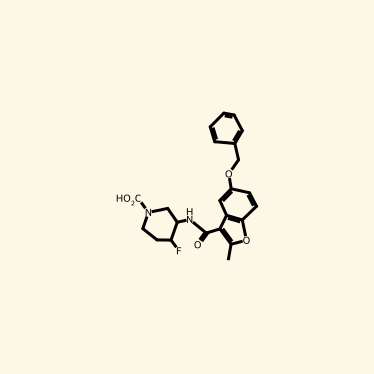 Cc1oc2ccc(OCc3ccccc3)cc2c1C(=O)NC1CN(C(=O)O)CCC1F